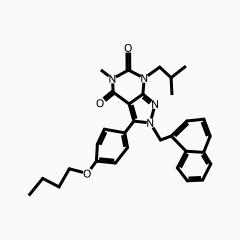 CCCCOc1ccc(-c2c3c(=O)n(C)c(=O)n(CC(C)C)c3nn2Cc2cccc3ccccc23)cc1